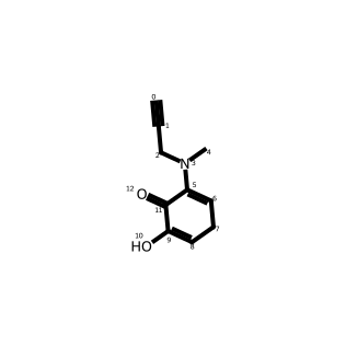 C#CCN(C)C1=CCC=C(O)C1=O